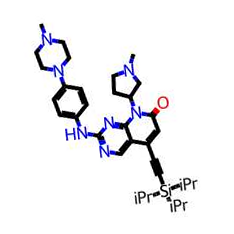 CC(C)[Si](C#Cc1cc(=O)n(C2CCN(C)C2)c2nc(Nc3ccc(N4CCN(C)CC4)cc3)ncc12)(C(C)C)C(C)C